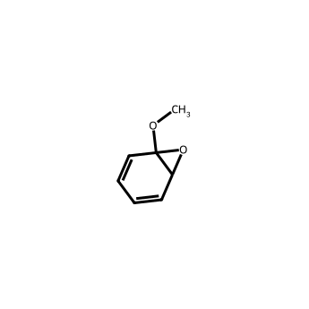 COC12C=CC=CC1O2